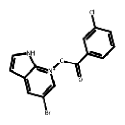 O=C(O[n+]1cc(Br)cc2cc[nH]c21)c1cccc(Cl)c1